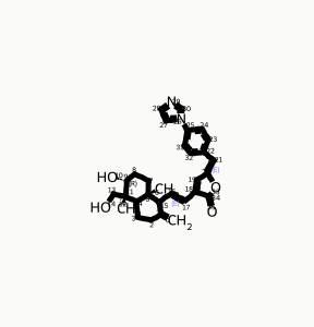 C=C1CCC2[C@](C)(CC[C@@H](O)[C@@]2(C)CO)C1/C=C/C1=CC(=C\c2ccc(-n3ccnc3)cc2)/OC1=O